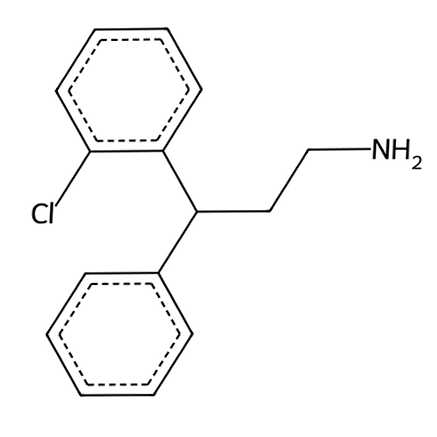 NCCC(c1ccccc1)c1ccccc1Cl